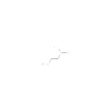 CCN(CCNC)C(=O)O